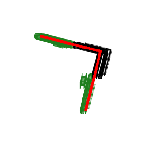 Cl.Cl.Cl.Cl.Cl.Cl.Cl.Cl.Cl.Cl.Cl.Cl.Cl.Cl.Cl.Cl.Cl.Cl.Cl.Cl.Cl.Cl.Cl.Cl.[Cl-].[Cl-].[Cl-].[Cl-].[Cl-].[Cl-].[Cl-].[Cl-].[Cl-].[Cl-].[Cl-].[Cl-].[Cl-].[Cl-].[Cl-].[Cl-].[Cl-].[Cl-].[Cl-].[Cl-].[Cl-].[Cl-].[Cl-].[Cl-].[Cl-].[Cl-].[Cl-].[Cl-].[Cl-].[Cl-].[Cl-].[Cl-].[Cl-].[Cl-].[Cl-].[Cl-].[Cl-].[Cl-].[Cl-].[Cl-].[Cl-].[Cl-].[Cl-].[Cl-].[Cl-].[Cl-].[Cl-].[Cl-].[Cl-].[Cl-].[Cl-].[Cl-].[Cl-].[Cl-].[Cl-].[Cl-].[Cl-].[Cl-].[Cl-].[Cl-].[Na+].[Na+].[Na+].[Na+].[Na+].[Na+].[Na+].[Na+].[Na+].[Na+].[Na+].[Na+].[Na+].[Na+].[Na+].[Na+].[Na+].[Na+].[Na+].[Na+].[Na+].[Na+].[Na+].[Na+].[Na+].[Na+].[Na+].[Na+].[Na+].[Na+].[Na+].[Na+].[Na+].[Na+].[Na+].[Na+].[Na+].[Na+].[Na+].[Na+].[Na+].[Na+].[Na+].[Na+].[Na+].[Na+].[Na+].[Na+].[Na+].[Na+].[Na+].[Na+].[Na+].[Na+].[Na+].[Na+].[Na+].[Na+].[Na+].[Na+]